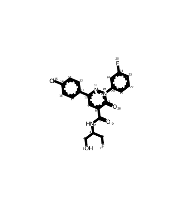 O=C(NC(CO)CF)c1cc(-c2ccc(Cl)cc2)nn(-c2cccc(F)c2)c1=O